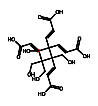 O=C(O)C=CC(C=CC(=O)O)(C=CC(=O)O)C(C=CC(=O)O)(CO)C(CO)(CO)CO